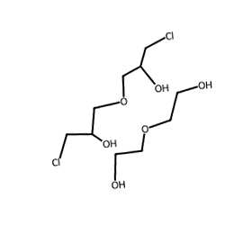 OC(CCl)COCC(O)CCl.OCCOCCO